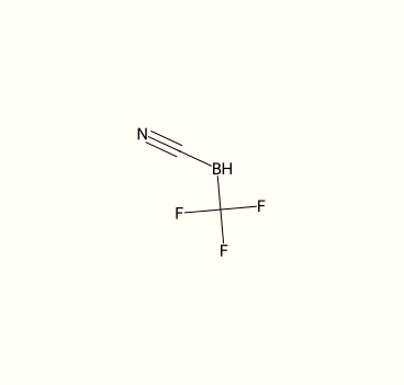 N#CBC(F)(F)F